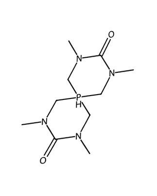 CN1C[PH]2(CN(C)C1=O)CN(C)C(=O)N(C)C2